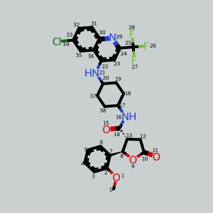 COc1ccccc1[C@@H]1OC(=O)C[C@H]1C(=O)NC1CCC(Nc2cc(C(F)(F)F)nc3ccc(Cl)cc23)CC1